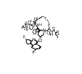 CC1(S(=O)(=O)NC(=O)[C@@]23C[C@H]2/C=C\CCCCC[C@H](NC(=O)c2cscn2)C(=O)N2C[C@H](Oc4nc5cc(F)ccc5c5cc(F)ccc45)C[C@H]2C(=O)N3)CC1